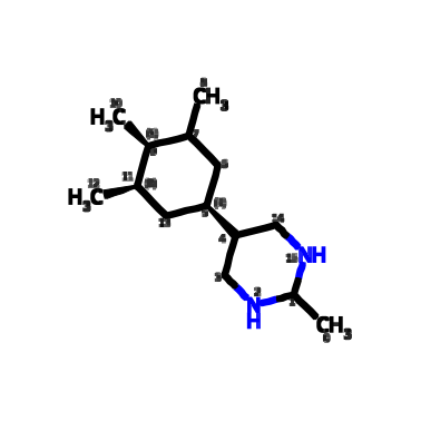 CC1NCC([C@@H]2CC(C)[C@H](C)[C@H](C)C2)CN1